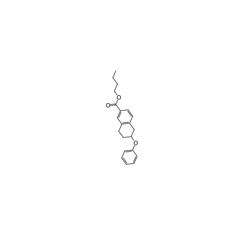 CCCCOC(=O)c1ccc2c(c1)CCC(Oc1ccccc1)C2